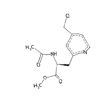 COC(=O)[C@H](Cc1cc(CCl)ccn1)NC(C)=O